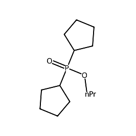 CCCOP(=O)(C1CCCC1)C1CCCC1